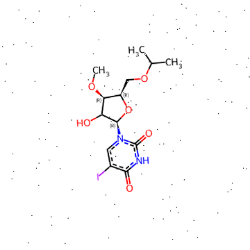 CO[C@@H]1C(O)[C@H](n2cc(I)c(=O)[nH]c2=O)O[C@@H]1COC(C)C